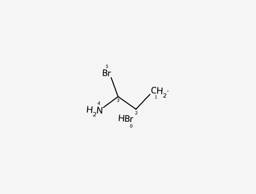 Br.[CH2]CC(N)Br